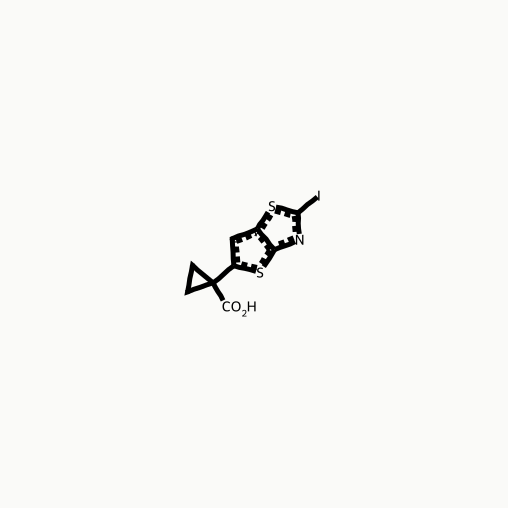 O=C(O)C1(c2cc3sc(I)nc3s2)CC1